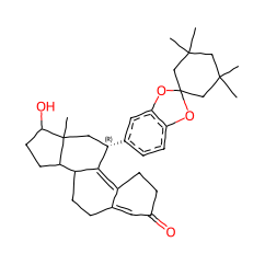 CC1(C)CC(C)(C)CC2(C1)Oc1ccc([C@H]3CC4(C)C(O)CCC4C4CCC5=CC(=O)CCC5=C43)cc1O2